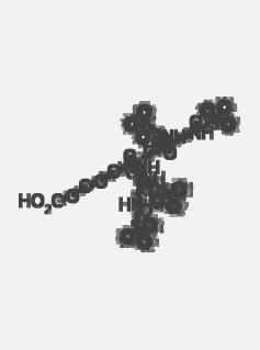 O=C(O)CCOCCOCCOCCOCCNC(=O)[C@H](CCCCNC(=O)[C@H](CCCCNC(=O)CCSC(c1ccccc1)(c1ccccc1)c1ccccc1)NC(=O)CCSC(c1ccccc1)(c1ccccc1)c1ccccc1)NC(=O)C(CCCCNC(=O)CCSC(c1ccccc1)(c1ccccc1)c1ccccc1)NC(=O)CCSC(c1ccccc1)(c1ccccc1)c1ccccc1